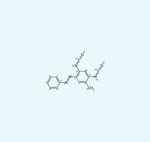 Cc1cc(N=Nc2ccccc2)c(N=C=O)cc1N=C=O